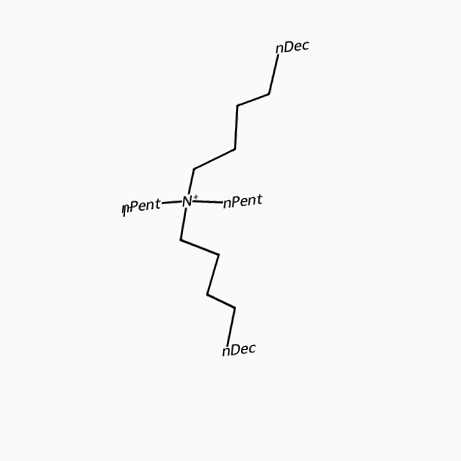 CCCCCCCCCCCCCC[N+](CCCCC)(CCCCC)CCCCCCCCCCCCCC.[I-]